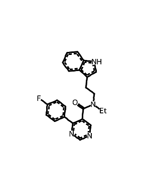 CCN(CCc1c[nH]c2ccccc12)C(=O)c1cncnc1-c1ccc(F)cc1